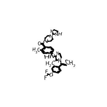 C=C1C(Nc2ccc(C(=O)N3CCN(C4=NCCN4)CC3)c(C)c2)=NC=CN1/C(=C\C)c1ccc(OC(F)F)cc1